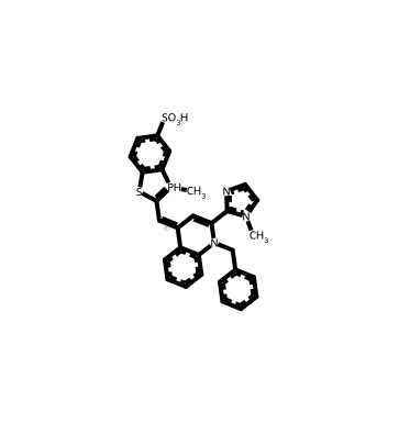 Cn1ccnc1C1=C/C(=C\C2=[PH](C)c3cc(S(=O)(=O)O)ccc3S2)c2ccccc2N1Cc1ccccc1